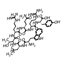 CC(C)C[C@H](NC(=O)[C@@H](N)Cc1c[nH]c2ccccc12)C(=O)N[C@H](C(=O)N[C@@H](CCCNC(=N)N)C(=O)N[C@@H](CCC(N)=O)C(=O)N[C@@H](CCCNC(=N)N)C(=O)N[C@@H](Cc1ccc(O)cc1)C(=O)O)[C@@H](C)O